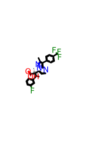 Cc1nn2c([C@](C)(C(=O)O)C(C)c3cccc(F)c3)ccnc2c1-c1ccc(C(F)(F)F)cc1